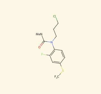 CNC(=O)N(CCCCl)c1ccc(SC(F)(F)F)cc1F